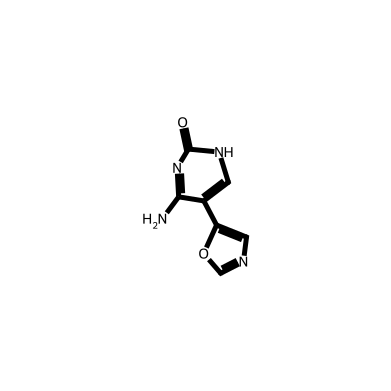 Nc1nc(=O)[nH]cc1-c1cnco1